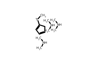 CNC.CNC.CNC.[CH3][Ti][C]1=CC=CC1